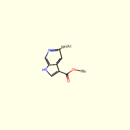 CC(=O)Nc1cc2c(C(=O)OC(C)(C)C)c[nH]c2cn1